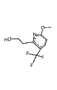 COc1ccc(C(F)(F)F)c(CCO)n1